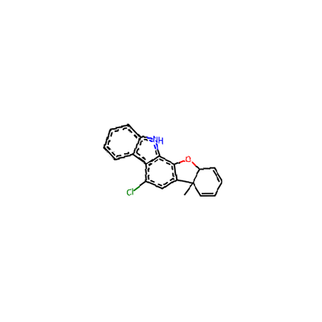 CC12C=CC=CC1Oc1c2cc(Cl)c2c1[nH]c1ccccc12